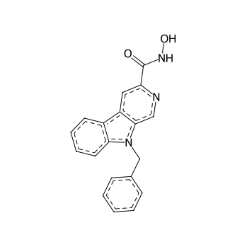 O=C(NO)c1cc2c3ccccc3n(Cc3ccccc3)c2cn1